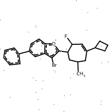 CC1CC(C2CCC2)=CC(F)C(c2oc3ccc(-c4ccccc4)cc3c2Br)C1